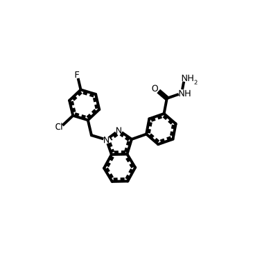 NNC(=O)c1cccc(-c2nn(Cc3ccc(F)cc3Cl)c3ccccc23)c1